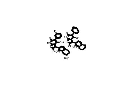 O=c1[nH]c2sc(Cl)c(-c3ccc4c(c3O)CCCC4)c2c(O)c1-c1cccc(F)c1.O=c1[nH]c2sc(Cl)c(-c3ccc4c(c3O)CCCC4)c2c([O-])c1-c1ccccc1.[Na+]